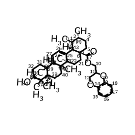 C[C@H]1[C@H](C)CC[C@]2(C(=O)OCC3COc4ccccc4O3)CC[C@]3(C)C(=CC[C@@H]4[C@@]5(C)CC[C@H](O)C(C)(C)[C@@H]5CC[C@]43C)[C@H]12